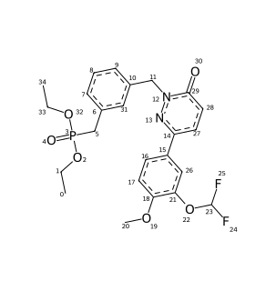 CCOP(=O)(Cc1cccc(Cn2nc(-c3ccc(OC)c(OC(F)F)c3)ccc2=O)c1)OCC